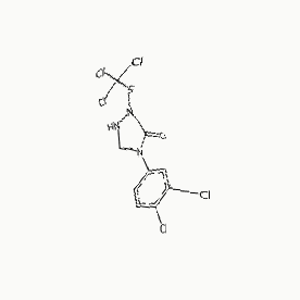 O=C1N(SC(Cl)(Cl)Cl)NCN1c1ccc(Cl)c(Cl)c1